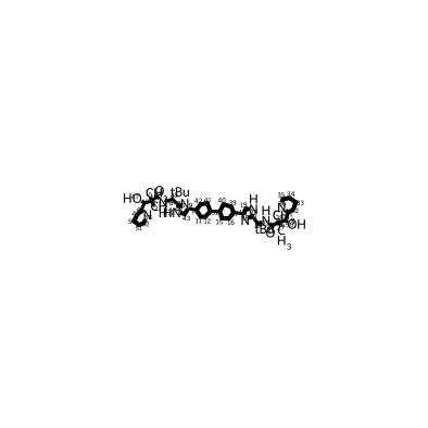 CC(C)(C(=O)N[C@H](c1nc(-c2ccc(-c3ccc(-c4c[nH]c([C@@H](NC(=O)C(C)(C)C(O)c5ccccn5)C(C)(C)C)n4)cc3)cc2)c[nH]1)C(C)(C)C)C(O)c1ccccn1